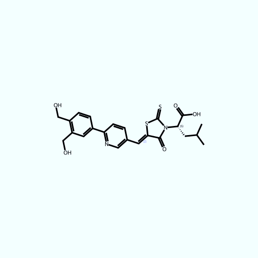 CC(C)C[C@@H](C(=O)O)N1C(=O)/C(=C/c2ccc(-c3ccc(CO)c(CO)c3)nc2)SC1=S